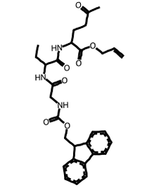 C=CCOC(=O)C(CCC(C)=O)NC(=O)C(CC)NC(=O)CNC(=O)OCC1c2ccccc2-c2ccccc21